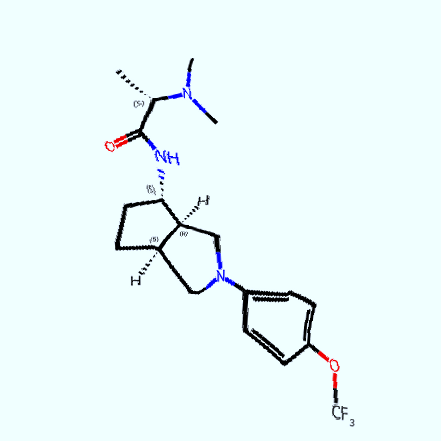 C[C@@H](C(=O)N[C@H]1CC[C@@H]2CN(c3ccc(OC(F)(F)F)cc3)C[C@@H]21)N(C)C